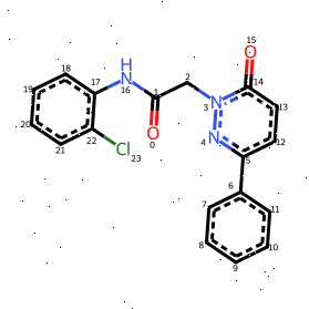 O=C(Cn1nc(-c2ccccc2)ccc1=O)Nc1ccccc1Cl